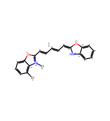 CCc1cccc2oc(C=CC=CC=C3Nc4ccccc4O3)[n+](CC)c12.[I-]